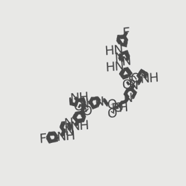 O=[PH](OCCN1CCC(N(CC2CCCN2)S(=O)(=O)c2ccc(Nc3nccc(Nc4ccc(F)cc4)n3)cc2)CC1)OCCN1CCC(N(CC2CCCN2)S(=O)(=O)c2ccc(Nc3nccc(Nc4ccc(F)cc4)n3)cc2)CC1